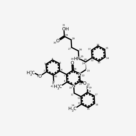 COc1cccc(-c2c(C)n(Cc3c(C)cccc3F)c(=O)n(C[C@H](NCCCC(=O)O)c3ccccc3)c2=O)c1F